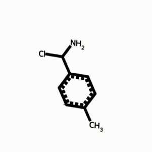 Cc1[c]cc(C(N)Cl)cc1